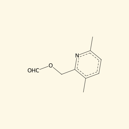 Cc1ccc(C)c(COC=O)n1